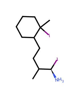 CC(CCC1CCCCC1(C)I)[C@H](N)I